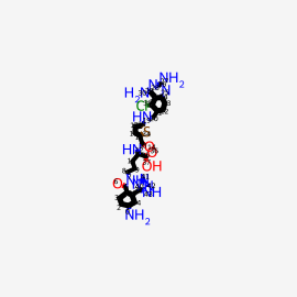 Nc1ccc(C(=O)NCCCC(NC(=O)c2ccc(NCc3ccc4nc(N)nc(N)c4c3Cl)s2)C(=O)O)c(-c2nnn[nH]2)c1